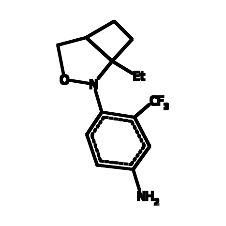 CCC12CCC1CON2c1ccc(N)cc1C(F)(F)F